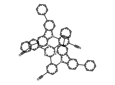 N#Cc1cccc(-c2nc(-c3cc(C#N)ccc3-n3c4ccc(-c5ccccc5)cc4c4cc(-c5ccccc5)ccc43)nc(-c3cc(C#N)ccc3-n3c4ccc(-c5ccccc5)cc4c4cc(-c5ccccc5)ccc43)n2)c1